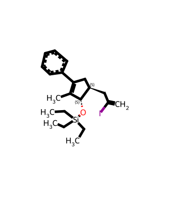 C=C(I)C[C@@H]1CC(c2ccccc2)=C(C)[C@H]1O[Si](CC)(CC)CC